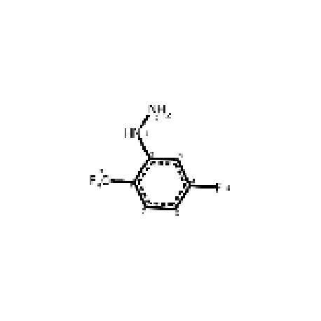 NNc1cc(F)ccc1C(F)(F)F